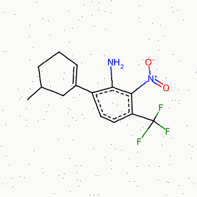 CC1CCC=C(c2ccc(C(F)(F)F)c([N+](=O)[O-])c2N)C1